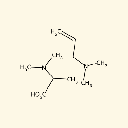 C=CCN(C)C.CC(C(=O)O)N(C)C